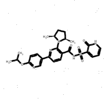 CC(C)Oc1ccc(-c2ccc(C(=O)NS(=O)(=O)c3ccc[nH]c3=O)c(N3[C@H](C)CC[C@@H]3C)n2)cn1